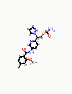 Cc1ccc(C(=O)Nc2ccc(C(COC(N)=O)n3cccn3)nc2)c(OC(C)C)c1